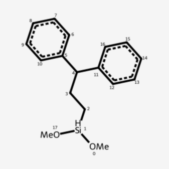 CO[SiH](CCC(c1ccccc1)c1ccccc1)OC